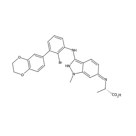 C[C@H](N=c1ccc2c(Nc3cccc(-c4ccc5c(c4)OCCO5)c3Br)[nH]n(C)c-2c1)C(=O)O